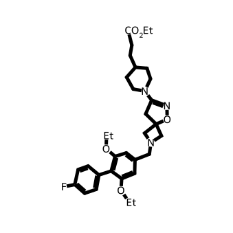 CCOC(=O)CCC1CCN(C2=NOC3(C2)CN(Cc2cc(OCC)c(-c4ccc(F)cc4)c(OCC)c2)C3)CC1